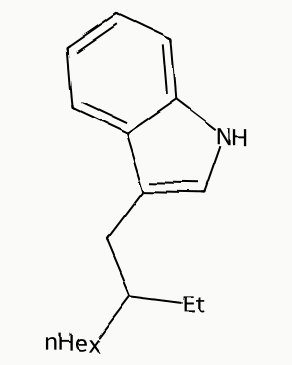 CCCCCCC(CC)Cc1c[nH]c2ccccc12